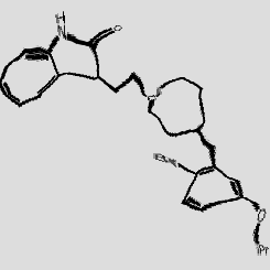 CC(C)Oc1ccc(Br)c(CC2CCN(CCC3C(=O)Nc4ccccc43)CC2)c1